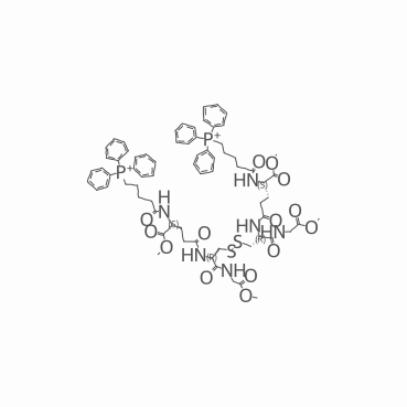 COC(=O)CNC(=O)[C@H](CSSC[C@H](NC(=O)CC[C@H](NC(=O)CCCC[P+](c1ccccc1)(c1ccccc1)c1ccccc1)C(=O)OC)C(=O)NCC(=O)OC)NC(=O)CC[C@H](NC(=O)CCCC[P+](c1ccccc1)(c1ccccc1)c1ccccc1)C(=O)OC